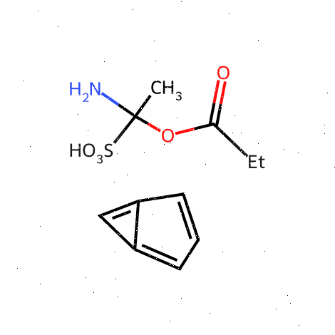 CCC(=O)OC(C)(N)S(=O)(=O)O.c1cc2cc-2c1